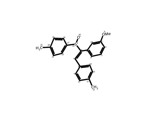 COc1cccc(/C(=C\c2ccc(C)cc2)[S+]([O-])c2ccc(C)cc2)c1